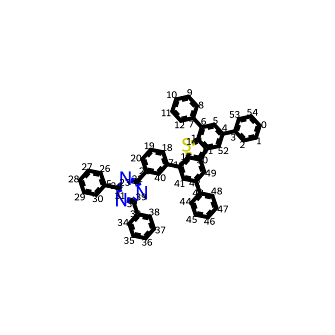 c1ccc(-c2cc(-c3ccccc3)c3sc4c(-c5cccc(-c6nc(-c7ccccc7)nc(-c7ccccc7)n6)c5)cc(-c5ccccc5)cc4c3c2)cc1